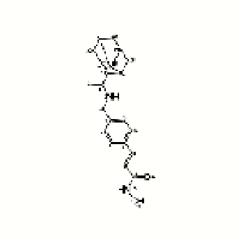 CC(NCc1ccc(C=CC(=O)NO)cc1)C1C2CC3CC(C2)CC1C3